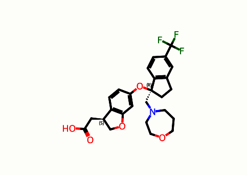 O=C(O)C[C@@H]1COc2cc(O[C@]3(CN4CCCOCC4)CCc4cc(C(F)(F)F)ccc43)ccc21